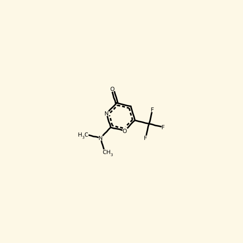 CN(C)c1nc(=O)cc(C(F)(F)F)o1